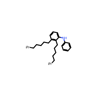 CC(C)CCCCCc1cccc(Nc2ccccc2)c1CCCCCC(C)C